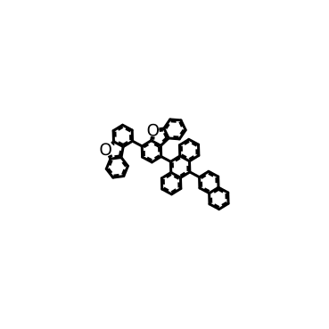 c1ccc2cc(-c3c4ccccc4c(-c4ccc(-c5cccc6oc7ccccc7c56)c5oc6ccccc6c45)c4ccccc34)ccc2c1